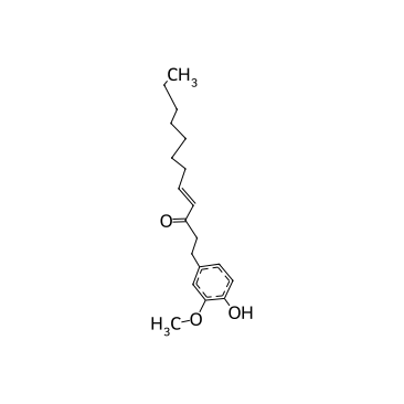 CCCCCCC/C=C/C(=O)CCc1ccc(O)c(OC)c1